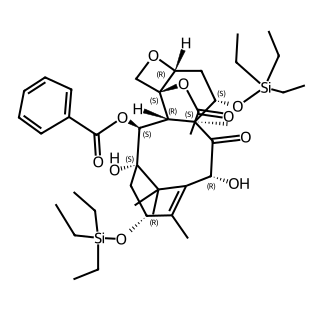 CC[Si](CC)(CC)O[C@H]1C[C@H]2OC[C@@]2(OC(C)=O)[C@H]2[C@H](OC(=O)c3ccccc3)[C@]3(O)C[C@@H](O[Si](CC)(CC)CC)C(C)=C([C@@H](O)C(=O)[C@]12C)C3(C)C